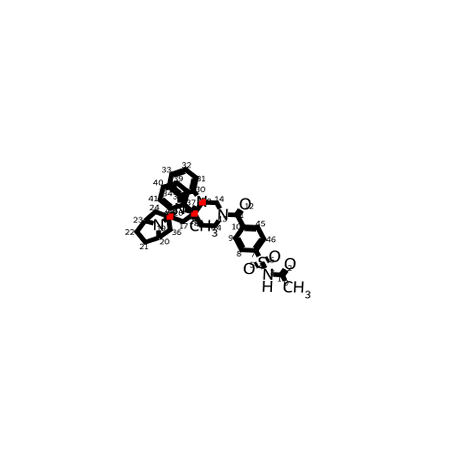 CC(=O)NS(=O)(=O)c1ccc(C(=O)N2CCC(CCN3C4CCC3CC(n3c(C)nc5ccccc53)C4)(c3ccccc3)CC2)cc1